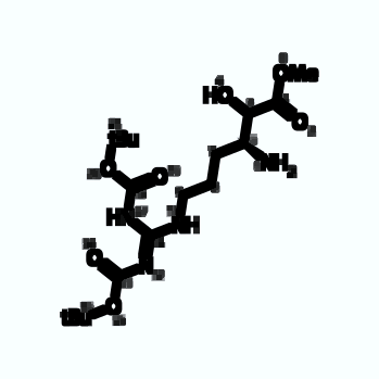 COC(=O)C(O)[C@@H](N)CCCN/C(=N/C(=O)OC(C)(C)C)NC(=O)OC(C)(C)C